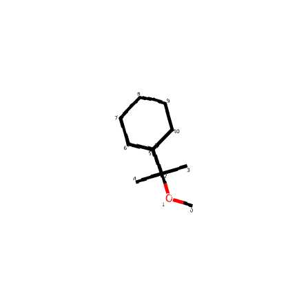 COC(C)(C)C1CCCCC1